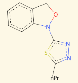 CCCc1nnc(N2OCc3ccccc32)s1